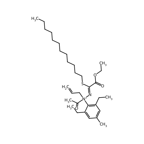 C=CC[N+](N=C(SCCCCCCCCCCCC)C(=O)OCC)(C(C)=O)c1c(CC)cc(C)cc1CC